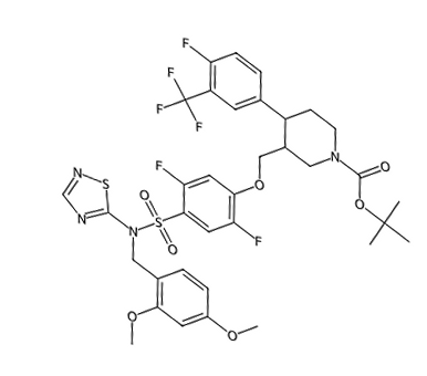 COc1ccc(CN(c2ncns2)S(=O)(=O)c2cc(F)c(OCC3CN(C(=O)OC(C)(C)C)CCC3c3ccc(F)c(C(F)(F)F)c3)cc2F)c(OC)c1